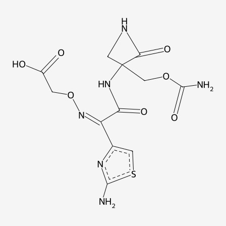 NC(=O)OCC1(NC(=O)/C(=N\OCC(=O)O)c2csc(N)n2)CNC1=O